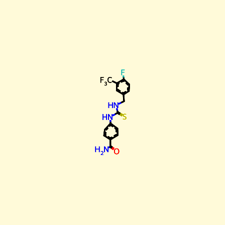 NC(=O)c1ccc(NC(=S)NCc2ccc(F)c(C(F)(F)F)c2)cc1